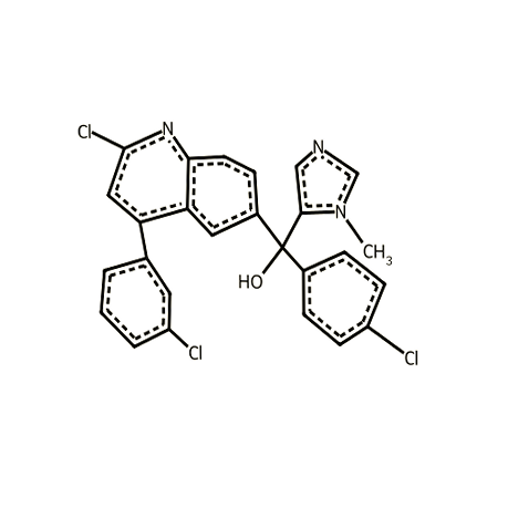 Cn1cncc1C(O)(c1ccc(Cl)cc1)c1ccc2nc(Cl)cc(-c3cccc(Cl)c3)c2c1